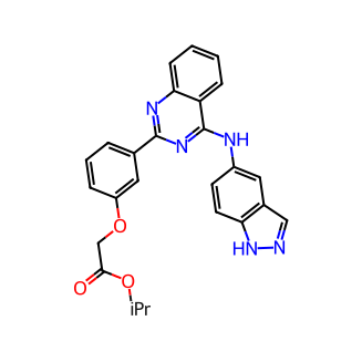 CC(C)OC(=O)COc1cccc(-c2nc(Nc3ccc4[nH]ncc4c3)c3ccccc3n2)c1